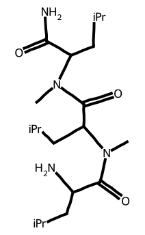 CC(C)CC(N)C(=O)N(C)C(CC(C)C)C(=O)N(C)C(CC(C)C)C(N)=O